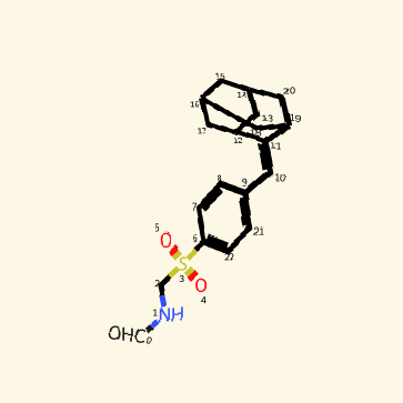 O=CNCS(=O)(=O)c1ccc(C=C2C3CC4CC(C3)CC2C4)cc1